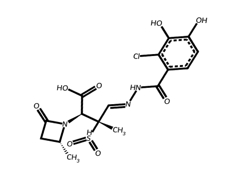 C[C@@H]1CC(=O)N1[C@@H](C(=O)O)[C@](C)(/C=N/NC(=O)c1ccc(O)c(O)c1Cl)[SH](=O)=O